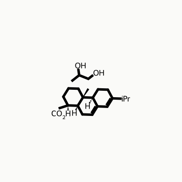 CC(C)C1=CC2=CC[C@@H]3[C@](C)(CCC[C@@]3(C)C(=O)O)[C@H]2CC1.CC(O)CO